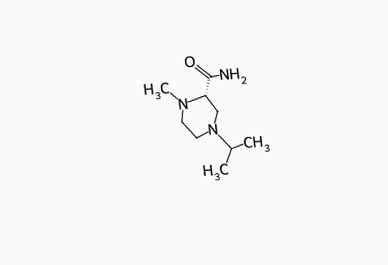 CC(C)N1CCN(C)[C@H](C(N)=O)C1